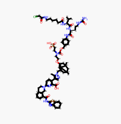 Cc1c(-c2ccc(N3CCc4cccc(C(=O)Nc5nc6ccccc6s5)c4C3)nc2C(=O)O)cnn1CC12CC3(C)CC(C)(C1)CC(OCCN(CCS(=O)(=O)O)C(=O)OCc1ccc(NC(=O)[C@H](CCCNC(N)=O)NC(=O)[C@@H](NC(=O)CCCCCNC(=O)CCl)C(C)C)cc1)(C3)C2